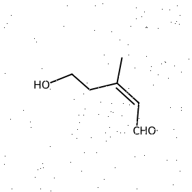 C/C(=C/[C]=O)CCO